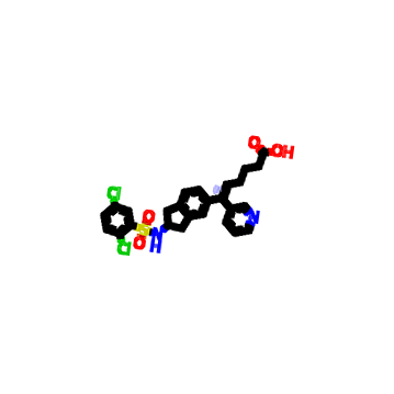 O=C(O)CCC/C=C(\c1cccnc1)c1ccc2c(c1)CC(NS(=O)(=O)c1cc(Cl)ccc1Cl)C2